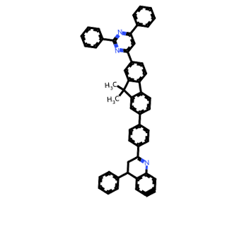 CC1(C)c2cc(-c3ccc(C4=Nc5cc#ccc5C(c5ccccc5)C4)cc3)ccc2-c2ccc(-c3cc(-c4ccccc4)nc(-c4ccccc4)n3)cc21